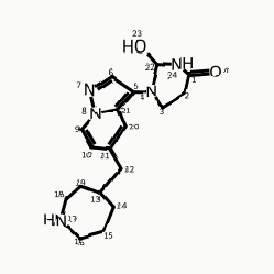 O=C1CCN(c2cnn3ccc(CC4CCCNCC4)cc23)C(O)N1